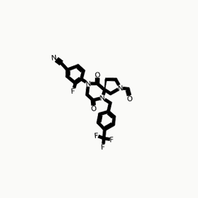 N#Cc1ccc(N2CC(=O)N(Cc3ccc(C(F)(F)F)cc3)[C@]3(CCN(C=O)C3)C2=O)c(F)c1